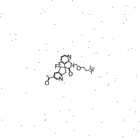 CC(=O)c1cnc2c(c1)C(F)(F)C1(C2)C(=O)N(COCC[Si](C)(C)C)c2ncccc21